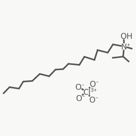 CCCCCCCCCCCCCCCC[N+](C)(O)C(C)C.[O-][Cl+3]([O-])([O-])[O-]